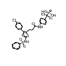 CCC(CC)(c1ccc(NC(=O)CCc2sc(NS(=O)(=O)c3ccccc3)nc2-c2ccc(Cl)cc2)cc1)P(=O)(O)O